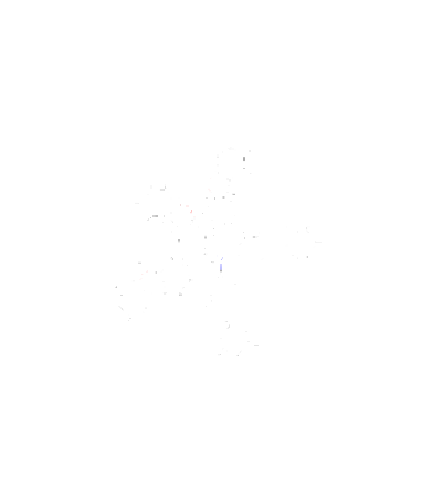 c1ccc(-c2cc(-c3ccc4oc5ccccc5c4c3)c3c(c2)c2cc(-c4ccccc4)cc(-c4ccc5oc6ccccc6c5c4)c2n3-c2ccc3c(c2)oc2ccccc23)cc1